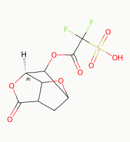 O=C1O[C@H]2C(OC(=O)C(F)(F)S(=O)(=O)O)C3CC1C2O3